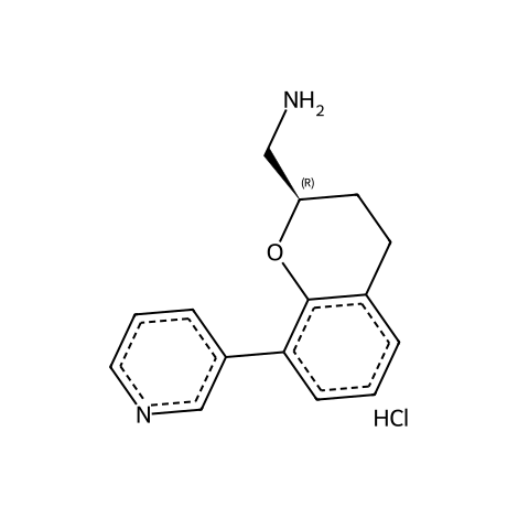 Cl.NC[C@H]1CCc2cccc(-c3cccnc3)c2O1